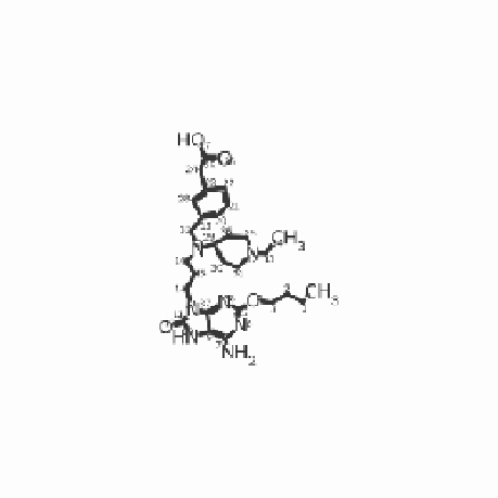 CCCCOc1nc(N)c2[nH]c(=O)n(CCCN(Cc3cccc(CC(=O)O)c3)C3CCN(CC)CC3)c2n1